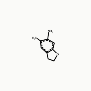 Nc1cc2c(cc1N)OCC2